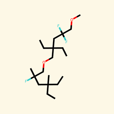 CCC(C)(CC)CC(C)(F)COCC(CC)(CC)CC(F)(F)COC